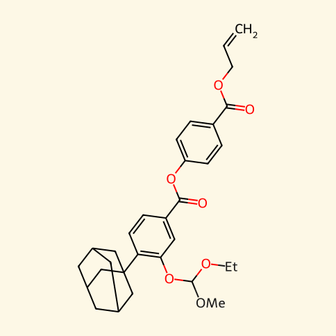 C=CCOC(=O)c1ccc(OC(=O)c2ccc(C34CC5CC(CC(C5)C3)C4)c(OC(OC)OCC)c2)cc1